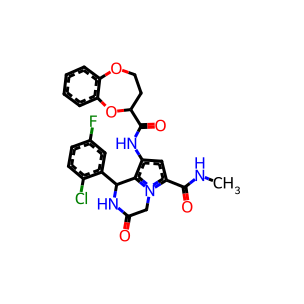 CNC(=O)c1cc(NC(=O)C2CCOc3ccccc3O2)c2n1CC(=O)NC2c1cc(F)ccc1Cl